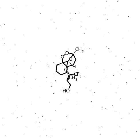 C[C@@H]1CCC[C@]23OO[C@@](C)(CCC12)O[C@H]3O/C(=C/CO)C(F)(F)F